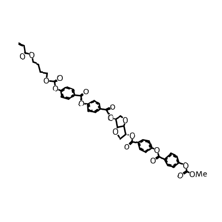 C=CC(=O)OCCCCOC(=O)Oc1ccc(C(=O)Oc2ccc(C(=O)O[C@H]3COC4C3OC[C@H]4OC(=O)c3ccc(OC(=O)c4ccc(OC(=O)OC)cc4)cc3)cc2)cc1